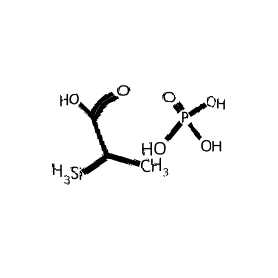 CC([SiH3])C(=O)O.O=P(O)(O)O